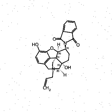 C=CCN1CC[C@]23c4c5ccc(O)c4O[C@H]2[C@@H](N2C(=O)c4ccccc4C2=O)CC[C@@]3(O)[C@H]1C5